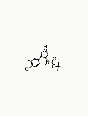 Cc1cc([C@H]2CNC[C@@H]2N(C)C(=O)OC(C)(C)C)ccc1Cl